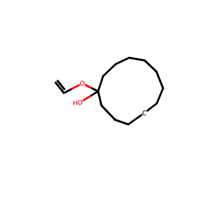 C=COC1(O)CCCCCCCCCCC1